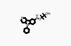 CC(C)(O)C(C)(C)OBc1ccc2c(c1)c1cnccc1n2-c1ccccc1